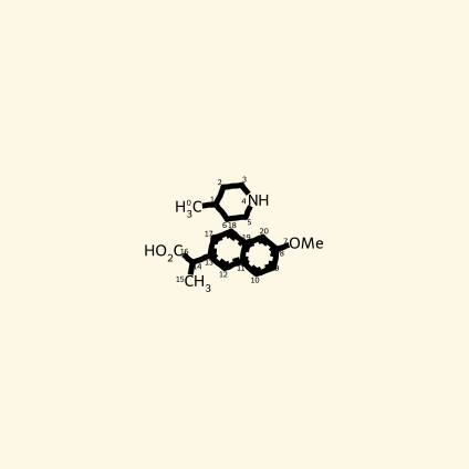 CC1CCNCC1.COc1ccc2cc(C(C)C(=O)O)ccc2c1